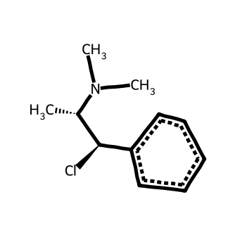 C[C@@H]([C@H](Cl)c1ccccc1)N(C)C